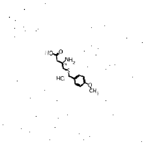 COc1ccc(CSC[C@H](N)CC(=O)O)cc1.Cl